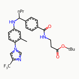 CCCC(Nc1ccc(-n2cnc(C(F)(F)F)c2)c(C)c1)c1ccc(C(=O)NCCC(=O)OC(C)(C)C)cc1